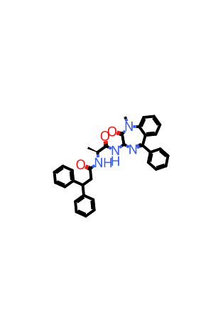 C[C@H](NC(=O)CC(c1ccccc1)c1ccccc1)C(=O)NC1N=C(c2ccccc2)c2ccccc2N(C)C1=O